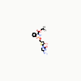 CCC(CC)COC(=O)CNP(OCC1CC(O)C(n2ccc(N)nc2=O)S1)Oc1ccccc1